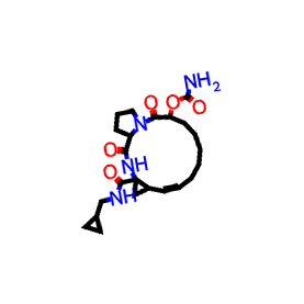 NC(=O)OC1CCCCCC=CC2CC2(C(=O)NCC2CC2)NC(=O)C2CCCN2C1=O